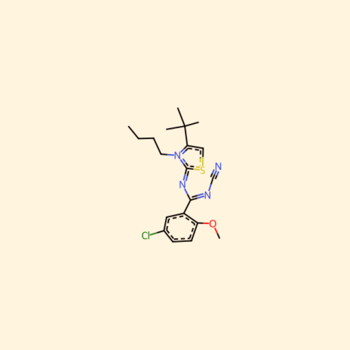 CCCCn1c(C(C)(C)C)cs/c1=N\C(=NC#N)c1cc(Cl)ccc1OC